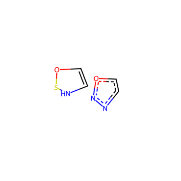 C1=COSN1.c1conn1